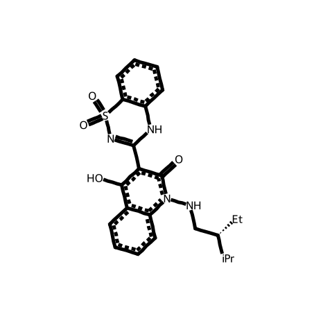 CC[C@@H](CNn1c(=O)c(C2=NS(=O)(=O)c3ccccc3N2)c(O)c2ccccc21)C(C)C